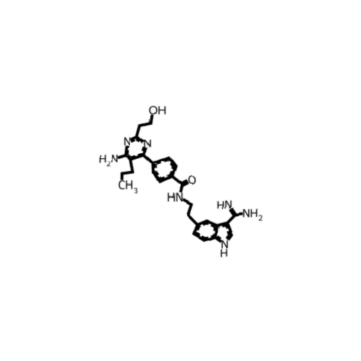 CCCc1c(N)nc(CCO)nc1-c1ccc(C(=O)NCCc2ccc3[nH]cc(C(=N)N)c3c2)cc1